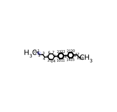 C/C=C/CCC1CCC(c2ccc(-c3ccc(CCC)cc3)cc2)CC1